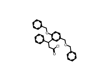 O=C(Cl)CC(c1ccccc1)c1cc(COCc2ccccc2)ccc1OCc1ccccc1